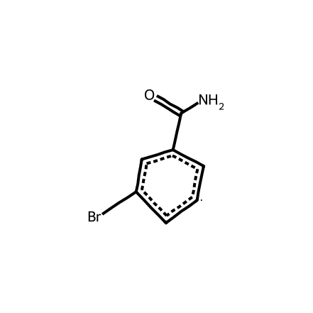 NC(=O)c1c[c]cc(Br)c1